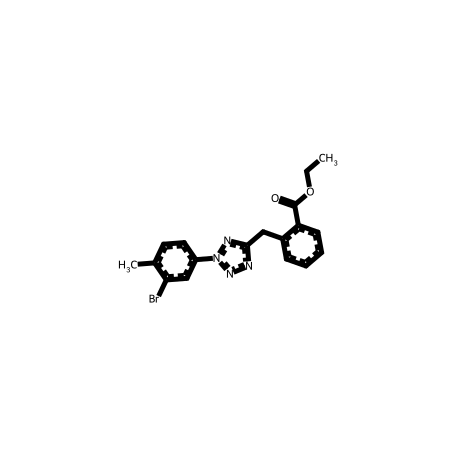 CCOC(=O)c1ccccc1Cc1nnn(-c2ccc(C)c(Br)c2)n1